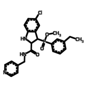 CCc1cccc(P(=O)(OC)C2c3cc(Cl)ccc3NC2C(=O)NCc2ccncc2)c1